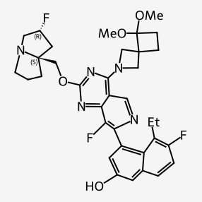 CCc1c(F)ccc2cc(O)cc(-c3ncc4c(N5CC6(CCC6(OC)OC)C5)nc(OC[C@@]56CCCN5C[C@H](F)C6)nc4c3F)c12